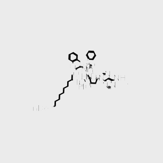 C#C[C@]1(CO[P@@](=O)(N[C@@H](Cc2ccccc2)C(=O)OCCCCCCCCCCCCCCCCCCCC)Oc2ccccc2)O[C@@H](n2cnc3c(N)nc(F)nc32)C[C@@H]1O